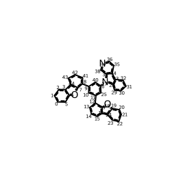 c1ccc2c(c1)oc1c(-c3cc(-c4cccc5c4oc4ccccc45)cc(-n4c5ccccc5c5ccncc54)c3)cccc12